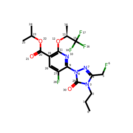 CCCn1c(CF)nn(-c2nc(O[C@@H](C)C(F)(F)F)c(C(=O)OC(C)C)cc2F)c1=O